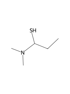 CCC(S)N(C)C